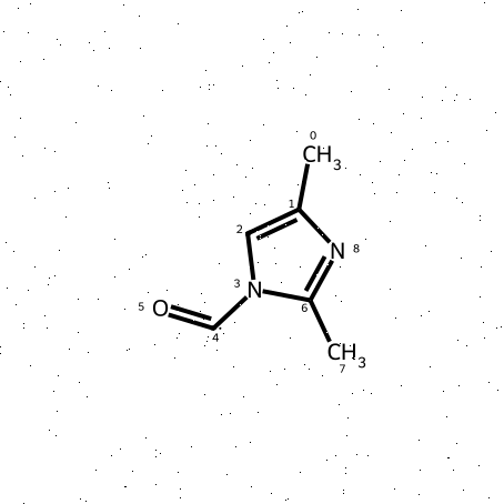 Cc1cn([C]=O)c(C)n1